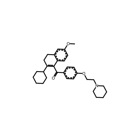 COc1ccc2c(c1)CCC(C1CCCCC1)=C2C(=O)c1ccc(OCCN2CCCCC2)cc1